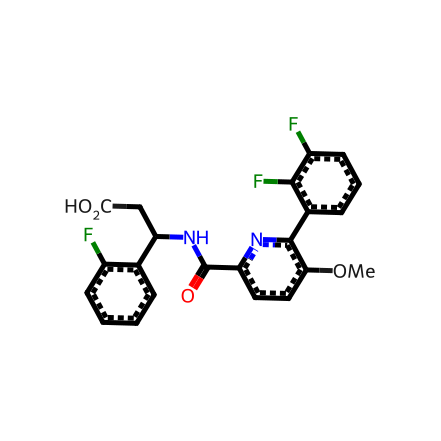 COc1ccc(C(=O)NC(CC(=O)O)c2ccccc2F)nc1-c1cccc(F)c1F